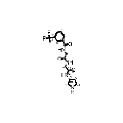 O=C(CNC(=O)c1cccc(C(F)(F)F)c1)NCC(=O)N[C@@H]1CCNC1